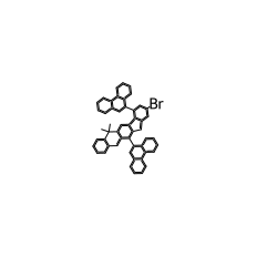 CC1(C)c2ccccc2C=c2c1cc1c(c2-c2cc3ccccc3c3ccccc23)C=c2cc(Br)cc(-c3cc4ccccc4c4ccccc34)c2=1